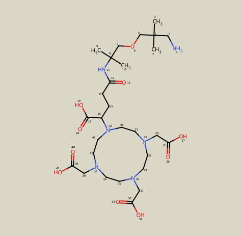 CC(C)(CN)COCC(C)(C)NC(=O)CCC(C(=O)O)N1CCN(CC(=O)O)CCN(CC(=O)O)CCN(CC(=O)O)CC1